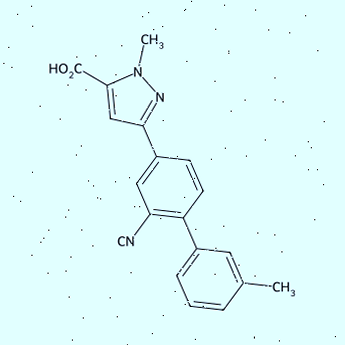 [C-]#[N+]c1cc(-c2cc(C(=O)O)n(C)n2)ccc1-c1cccc(C)c1